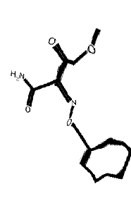 COC(=O)/C(=N/OC1CCCCC1)C(N)=O